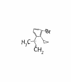 C=C[C](C)c1cccc(Br)c1C1CC1